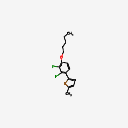 CCCCCOc1ccc(-c2ccc(C)s2)c(F)c1F